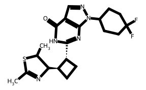 CC1=NC([C@@H]2CC[C@H]2c2nc3c(cnn3C3CCC(F)(F)CC3)c(=O)[nH]2)C(C)S1